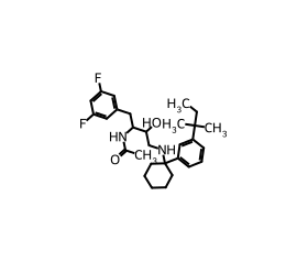 CCC(C)(C)c1cccc(C2(NCC(O)C(Cc3cc(F)cc(F)c3)NC(C)=O)CCCCC2)c1